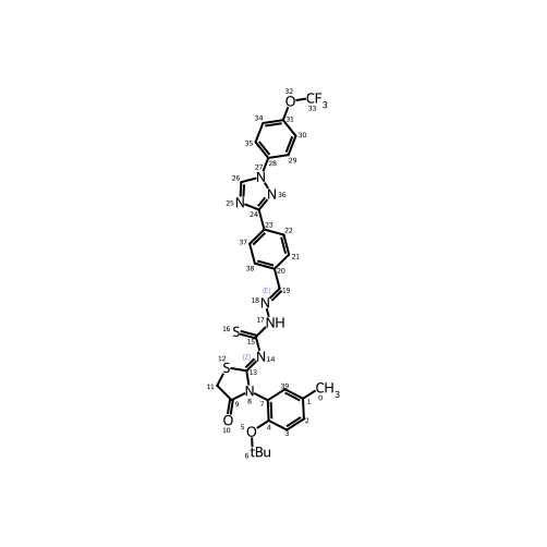 Cc1ccc(OC(C)(C)C)c(N2C(=O)CS/C2=N\C(=S)N/N=C/c2ccc(-c3ncn(-c4ccc(OC(F)(F)F)cc4)n3)cc2)c1